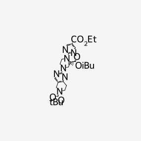 CCOC(=O)c1cnc(N2CCN(c3ncc4c(n3)CCN(C(=O)OC(C)(C)C)C4)C[C@@H]2C(=O)OCC(C)C)nc1